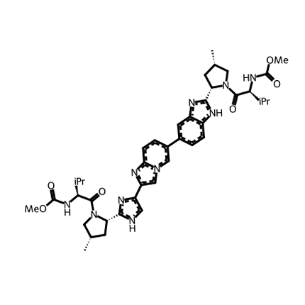 COC(=O)N[C@H](C(=O)N1C[C@@H](C)C[C@H]1c1nc(-c2cn3cc(-c4ccc5[nH]c([C@@H]6C[C@H](C)CN6C(=O)[C@@H](NC(=O)OC)C(C)C)nc5c4)ccc3n2)c[nH]1)C(C)C